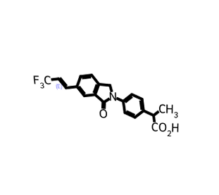 CC(C(=O)O)c1ccc(N2Cc3ccc(/C=C/C(F)(F)F)cc3C2=O)cc1